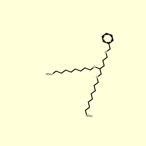 CCCCCCCCCCCCCCCCCCOCC(CCCOCc1ccccc1)OCCCCCCCCCCCCCCCCCC